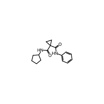 O=C(Nc1ccccc1)C1(C(=O)NC2CCCC2)CC1